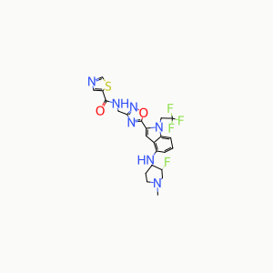 CN1CC[C@H](Nc2cccc3c2cc(-c2nc(CNC(=O)c4cncs4)no2)n3CC(F)(F)F)[C@H](F)C1